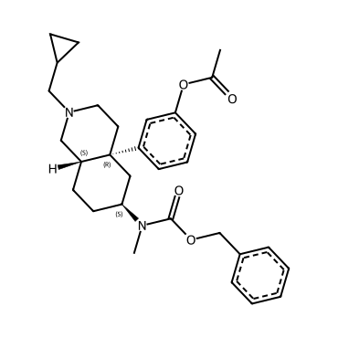 CC(=O)Oc1cccc([C@@]23CCN(CC4CC4)C[C@H]2CC[C@H](N(C)C(=O)OCc2ccccc2)C3)c1